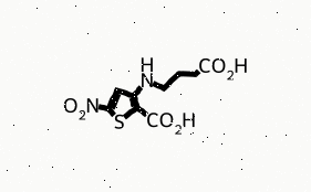 O=C(O)CCCNc1cc([N+](=O)[O-])sc1C(=O)O